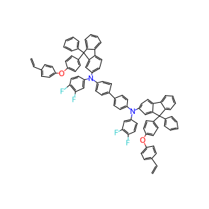 C=Cc1ccc(Oc2ccc(C3(c4ccccc4)c4ccccc4-c4ccc(N(c5ccc(-c6ccc(N(c7ccc(F)c(F)c7)c7ccc8c(c7)C(c7ccccc7)(c7ccc(Oc9ccc(C=C)cc9)cc7)c7ccccc7-8)cc6)cc5)c5ccc(F)c(F)c5)cc43)cc2)cc1